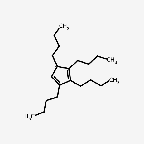 CCCC[C]1C=C(CCCC)C(CCCC)=C1CCCC